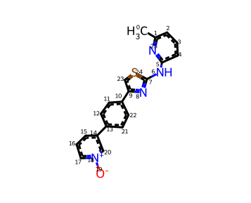 Cc1cccc(Nc2nc(-c3ccc(-c4ccc[n+]([O-])c4)cc3)cs2)n1